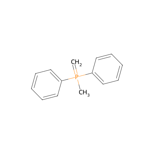 C=P(C)(c1ccccc1)c1ccccc1